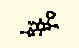 Cc1[nH]c2c(-c3ccccc3)c(C(F)(F)F)nn2c(=O)c1-c1nnc(C(C)C)o1